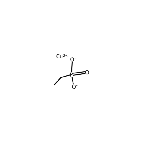 CCP(=O)([O-])[O-].[Cu+2]